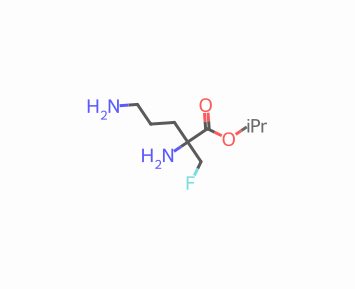 CC(C)OC(=O)C(N)(CF)CCCN